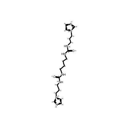 O=C(NCCCCNC(=O)NCCCn1ccnc1)NCCCn1ccnc1